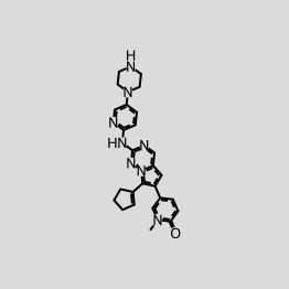 Cn1cc(-c2cc3cnc(Nc4ccc(N5CCNCC5)cn4)nn3c2C2=CCCC2)ccc1=O